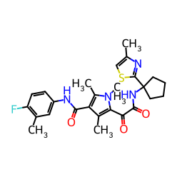 Cc1csc(C2(NC(=O)C(=O)c3c(C)c(C(=O)Nc4ccc(F)c(C)c4)c(C)n3C)CCCC2)n1